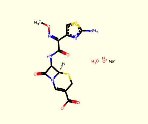 CON=C(C(=O)NC1C(=O)N2C=C(C(=O)[O-])CS[C@H]12)c1csc(N)n1.O.O.[Na+]